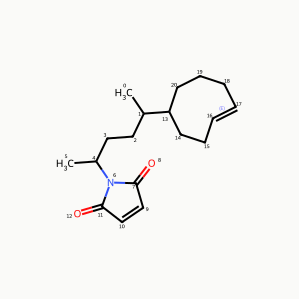 CC(CCC(C)N1C(=O)C=CC1=O)C1CC/C=C/CCC1